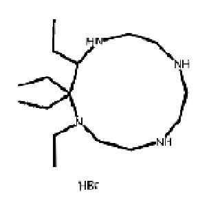 Br.CCC1NCCNCCNCCN(CC)C1(CC)CC